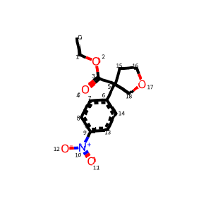 CCOC(=O)C1(c2ccc([N+](=O)[O-])cc2)CCOC1